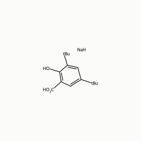 CC(C)(C)c1cc(C(=O)O)c(O)c(C(C)(C)C)c1.[NaH]